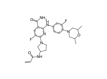 C=CC(=O)NC1CCN(c2nc(Nc3ccc(N4CC(C)OC(C)C4)c(F)c3)c(C(N)=O)cc2F)C1